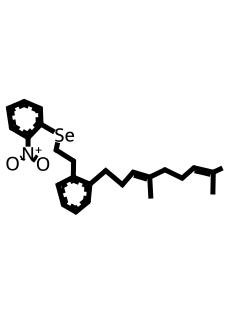 CC(C)=CCC/C(C)=C/CCc1ccccc1CC[Se]c1ccccc1[N+](=O)[O-]